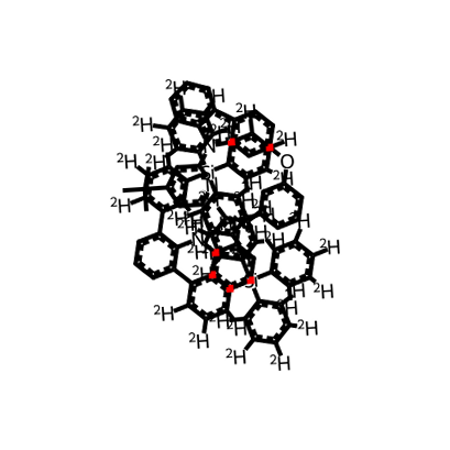 [2H]c1c([2H])c([2H])c([Si](c2c([2H])c([2H])c([2H])c([2H])c2[2H])(c2c([2H])c([2H])c([2H])c([2H])c2[2H])c2c([2H])c([2H])c([2H])c(-c3cccc(-c4c([2H])c([2H])c([2H])c([Si](c5c([2H])c([2H])c([2H])c([2H])c5[2H])(c5c([2H])c([2H])c([2H])c([2H])c5[2H])c5c([2H])c([2H])c([2H])c([2H])c5[2H])c4[2H])c3Nc3ccccc3Nc3cccc(Oc4ccc5c6ccccc6n(-c6cc(C(C)(C)C)ccn6)c5c4)c3)c2[2H])c([2H])c1[2H]